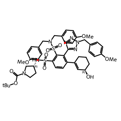 COc1ccc(CN(Cc2ccc(OC)cc2)S(=O)(=O)c2c(S(=O)(=O)N[C@@H]3CCN(C(=O)OC(C)(C)C)C3)ccc(C3=C[C@H](O)CCC3)c2-c2nnn(Cc3ccc(OC)cc3)n2)cc1